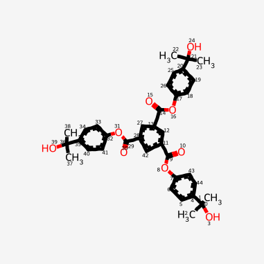 CC(C)(O)c1ccc(OC(=O)c2cc(C(=O)Oc3ccc(C(C)(C)O)cc3)cc(C(=O)Oc3ccc(C(C)(C)O)cc3)c2)cc1